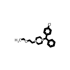 CCOCCN1CCN(C(c2ccccc2)c2ccc(Cl)cc2)CC1